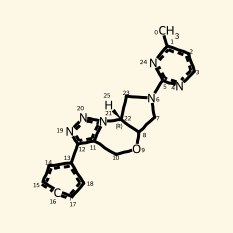 Cc1ccnc(N2CC3OCc4c(-c5ccccc5)nnn4[C@@H]3C2)n1